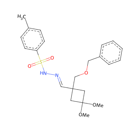 COC1(OC)CC(C=NNS(=O)(=O)c2ccc(C)cc2)(COCc2ccccc2)C1